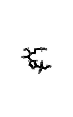 CCCN(CCOC)C(=O)n1cnc(S(=O)(=O)CC(C)C)n1